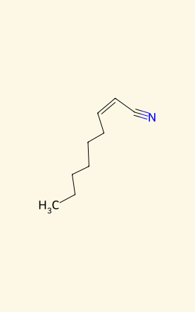 CCCCCC/C=C\C#N